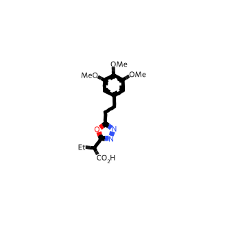 CCC(C(=O)O)c1nnc(CCc2cc(OC)c(OC)c(OC)c2)o1